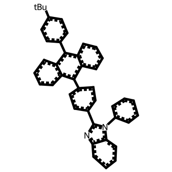 CC(C)(C)c1ccc(-c2c3ccccc3c(-c3ccc(-c4nc5ccccc5n4-c4ccccc4)cc3)c3ccccc23)cc1